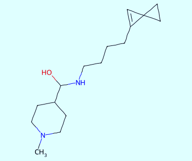 CN1CCC(C(O)NCCCCC2=CC23CC3)CC1